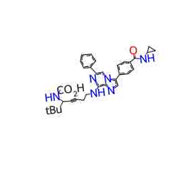 CC(C)(C)C(C#CCCNc1nc(-c2ccccc2)cn2c(-c3ccc(C(=O)NC4CC4)cc3)cnc12)NC(=O)O